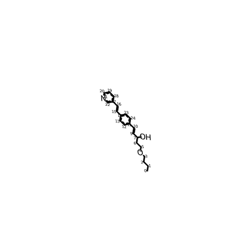 CCCCOCCC(O)C=Cc1ccc(C=Cc2cccnc2)cc1